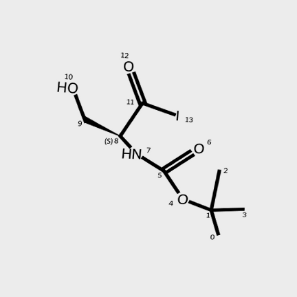 CC(C)(C)OC(=O)N[C@@H](CO)C(=O)I